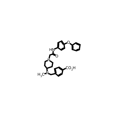 CN(Cc1ccc(C(=O)O)cc1)C1CCN(CC(=O)Nc2ccc(Oc3ccccc3)cc2)CC1